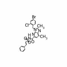 Cc1cc(C(=O)NS(=O)(=O)C=Cc2ccccc2)nc2c1nc(C)n2Cc1ccc(Br)cc1Cl